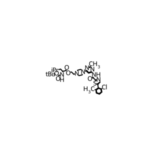 Cc1nc(NC(=O)c2ncc(-c3c(C)cccc3Cl)s2)cc(N2CCN(CCOC(=O)C(CC(C)C)NC(=O)OC(C)(C)C)CC2)n1